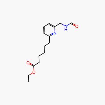 CCOC(=O)CCCCCc1cccc(CNC=O)n1